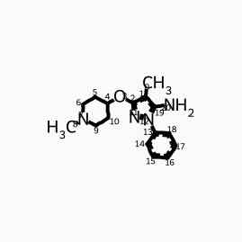 Cc1c(OC2CCN(C)CC2)nn(-c2ccccc2)c1N